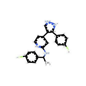 CC(Nc1cc(-c2c[nH]nc2-c2ccc(F)cc2)ccn1)c1ccc(F)cc1